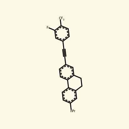 CCCc1ccc2c(c1)CCc1cc(C#Cc3ccc(C(F)(F)F)c(F)c3)ccc1-2